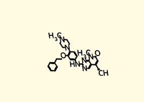 C#Cc1cc(=O)n(C)c2nc(Nc3ccc(N4CCN(C)CC4)c(OCCc4ccccc4)c3)ncc12